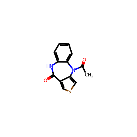 CC(=O)N1c2ccccc2NC(=O)c2cscc21